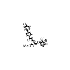 COCC[C@@H](COc1cn[nH]c(=O)c1C(F)(F)F)OCCC(=O)N1CCN(c2ncc(Cl)cn2)CC1